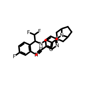 N#Cc1ccc(N2C3CCC2CN(C(=O)CNC(c2ccc(F)cc2F)C(F)F)C3)nc1